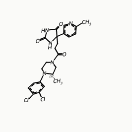 Cc1ccc(C2(CCC(=O)N3CCN(c4ccc(Cl)c(Cl)c4)[C@@H](C)C3)NC(=O)NC2=O)cn1